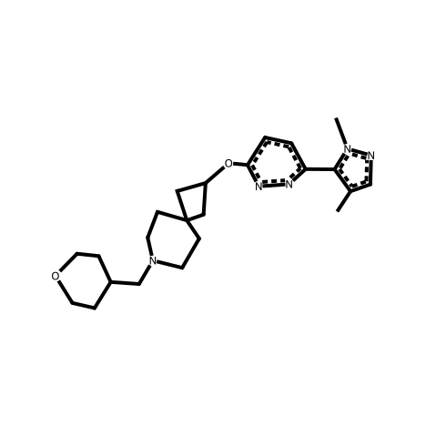 Cc1cnn(C)c1-c1ccc(OC2CC3(CCN(CC4CCOCC4)CC3)C2)nn1